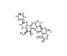 CCN(C(=O)c1cccc(F)c1Cl)[C@@H]1CCc2ccc(C(=O)N(C)C3CCN(c4ccncc4)CC3)cc21